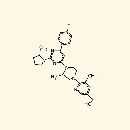 Cc1cc(CO)cnc1N1CCN(c2cc(-c3ccc(F)cc3)nc(N3CCCC3C)n2)C(C)C1